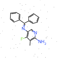 Cc1c(N)ncc(N=C(c2ccccc2)c2ccccc2)c1F